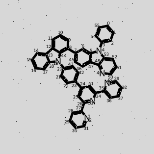 c1ccc(-n2c3cc(-c4cccc5c6ccccc6n(-c6ccc(-c7cc(-c8ccccn8)nc(-c8ccccn8)c7)cc6)c45)ccc3c3ncccc32)cc1